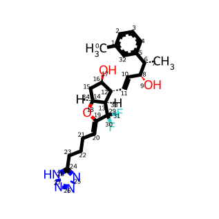 Cc1cccc([C@H](C)[C@H](O)/C=C/[C@@H]2[C@@H]3[C@H](C[C@H]2O)O/C(=C\CCCc2nnn[nH]2)C3(F)F)c1